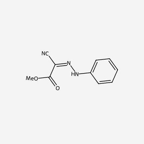 COC(=O)C(C#N)=NNc1ccccc1